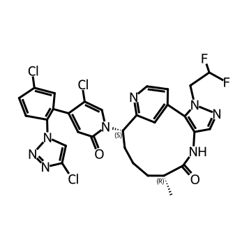 C[C@@H]1CCC[C@H](n2cc(Cl)c(-c3cc(Cl)ccc3-n3cc(Cl)nn3)cc2=O)c2cc(ccn2)-c2c(cnn2CC(F)F)NC1=O